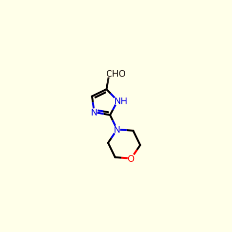 O=Cc1cnc(N2CCOCC2)[nH]1